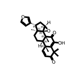 CC1(C)C(=O)C=C[C@@]2(C)C1=C(O)C(=O)[C@]1(C)[C@@H]2CC[C@@]2(C)[C@H](c3ccoc3)C[C@H]3O[C@]321